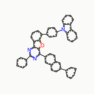 c1ccc(-c2ccc3cc(-c4nc(-c5ccccc5)nc5c4oc4c(-c6ccc(-n7c8ccccc8c8ccccc87)cc6)cccc45)ccc3c2)cc1